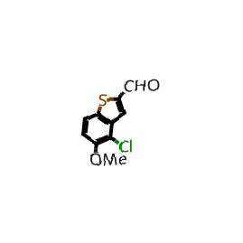 COc1ccc2sc(C=O)cc2c1Cl